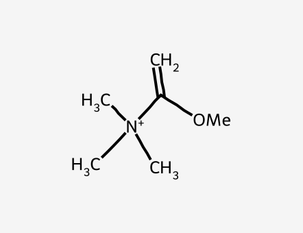 C=C(OC)[N+](C)(C)C